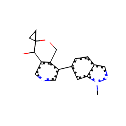 Cn1ncc2ccc(-c3cncc4c3COC3(CC3)C4O)cc21